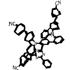 N#Cc1ccc(-c2ccc3c(c2)c2ccccc2n3-c2ccccc2-c2ccc(-n3c4ccc(-c5ccc(C#N)cc5)cc4c4cc(-c5ccc(C#N)cc5)ccc43)c(-c3nc(-c4ccccc4)nc(-c4ccccc4)n3)c2)cc1